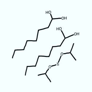 CC(C)[O][Ti][O]C(C)C.CCCCCCCC(O)O.CCCCCCCC(O)O